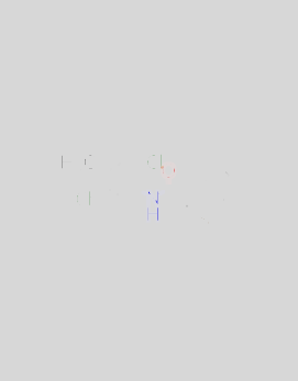 Cc1cc(Cl)c(NC(=O)c2csc3ccccc23)cc1Cl